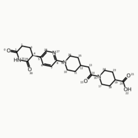 O=C1CC[C@@H](c2ccc(N3CCC(CC(=O)N4CCC(C(=O)O)CC4)CC3)nc2)C(=O)N1